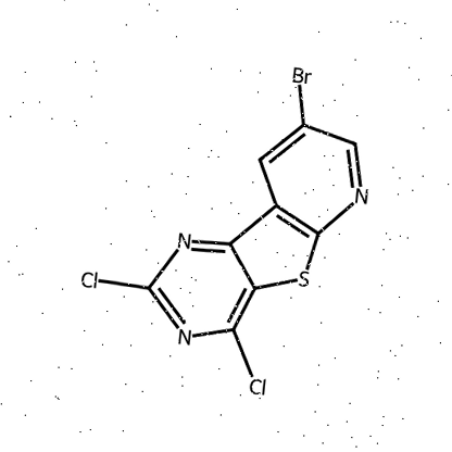 Clc1nc(Cl)c2sc3ncc(Br)cc3c2n1